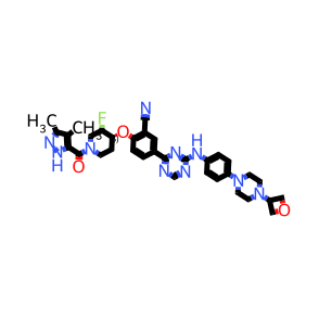 Cc1n[nH]c(C(=O)N2CC[C@H](Oc3ccc(-c4ncnc(Nc5ccc(N6CCN(C7COC7)CC6)cc5)n4)cc3C#N)C(F)C2)c1C